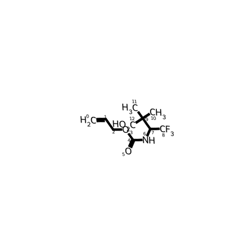 C=CCOC(=O)NC(C(F)(F)F)C(C)(C)C(=O)O